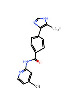 N#Cc1ccnc(NC(=O)c2ccc(-c3nc[nH]c3C(=O)O)cc2)c1